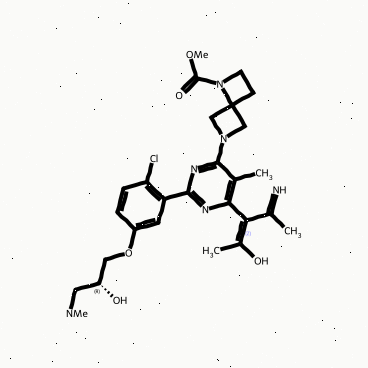 CNC[C@@H](O)COc1ccc(Cl)c(-c2nc(/C(C(C)=N)=C(\C)O)c(C)c(N3CC4(CCN4C(=O)OC)C3)n2)c1